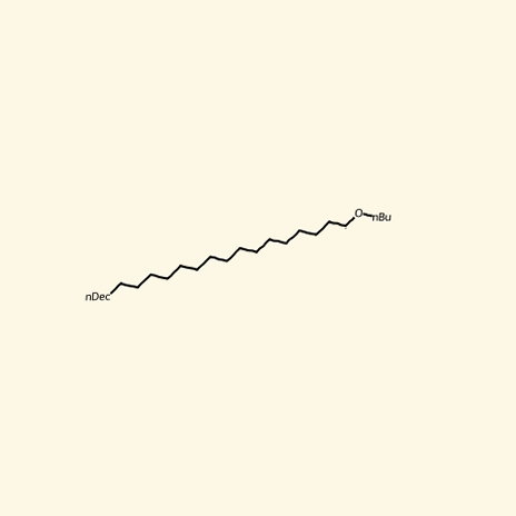 CCCCCCCCCCCCCCCCCCCCCCCCC[CH]OCCCC